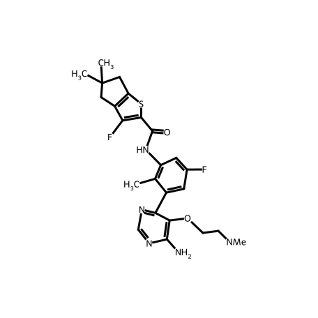 CNCCOc1c(N)ncnc1-c1cc(F)cc(NC(=O)c2sc3c(c2F)CC(C)(C)C3)c1C